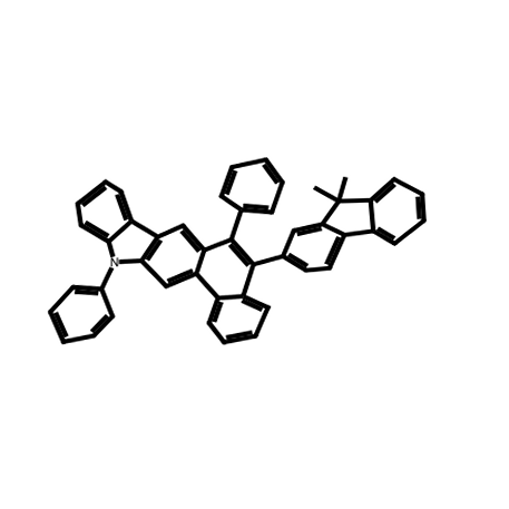 CC1(C)c2ccccc2-c2ccc(-c3c(-c4ccccc4)c4cc5c6ccccc6n(-c6ccccc6)c5cc4c4ccccc34)cc21